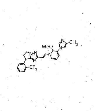 CO[C@H]1C(n2cnc(C)c2)=CC=CN1/C=C/c1nc2n(n1)CCC2c1ccccc1C(F)(F)F